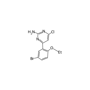 CCOc1ccc(Br)cc1-c1cc(Cl)nc(N)n1